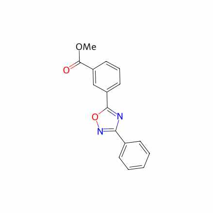 COC(=O)c1cccc(-c2nc(-c3ccccc3)no2)c1